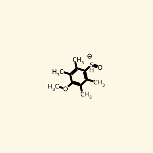 COc1c(C)c(C)c([SH](=O)=O)c(C)c1C